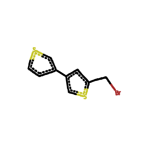 BrCc1cc(-c2ccsc2)cs1